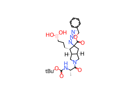 C[C@H](NC(=O)OC(C)(C)C)C(=O)N1C[C@@H]2C[C@@](N=[N+]=[N-])(C(=O)OCc3ccccc3)[C@@H](CCCB(O)O)[C@@H]2C1